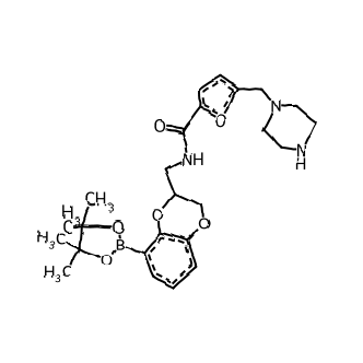 CC1(C)OB(c2cccc3c2OC(CNC(=O)c2ccc(CN4CCNCC4)o2)CO3)OC1(C)C